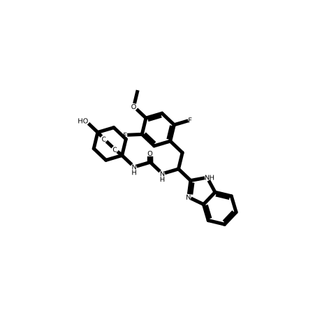 COc1cc(F)c(CC(NC(=O)NC23CCC(O)(CC2)CC3)c2nc3ccccc3[nH]2)cc1F